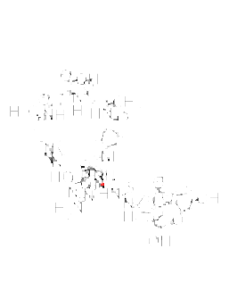 C[C@H](CCCn1cc(CCOC(=O)NCCNC(=S)Nc2ccc3c(c2)C(=O)OC32C3=CC=C(O)CC3Oc3cc(O)ccc32)nn1)NC(=O)CC[C@H](NC(=O)CC[C@@H](C)NC(=O)c1ccc(NCc2cnc3nc(N)nc(O)c3n2)cc1)C(=O)O